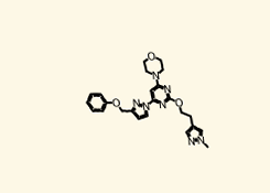 Cn1cc(CCOc2nc(N3CCOCC3)cc(-n3ccc(COc4ccccc4)n3)n2)cn1